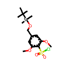 COc1cc(CO[Si](C)(C)C(C)(C)C)cc(OC)c1S(=O)(=O)Cl